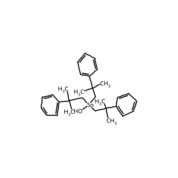 CC(C)([CH2][Sn]([OH])([CH2]C(C)(C)c1ccccc1)[CH2]C(C)(C)c1ccccc1)c1ccccc1